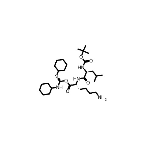 CC(C)C[C@H](NC(=O)OC(C)(C)C)C(=O)N[C@H](CCCCN)C(=O)O/C(=N\C1CCCCC1)NC1CCCCC1